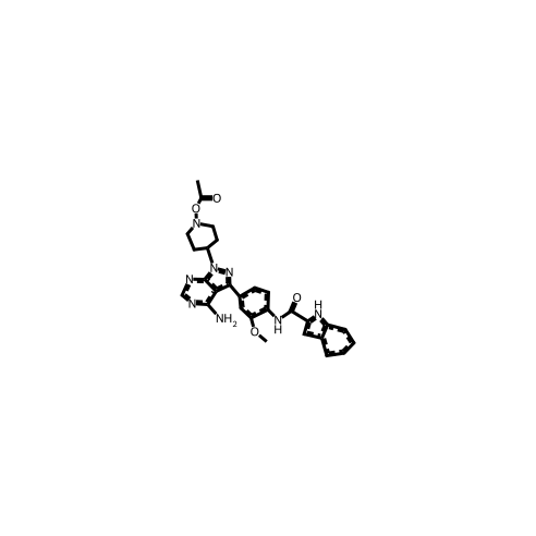 COc1cc(-c2nn(C3CCN(OC(C)=O)CC3)c3ncnc(N)c23)ccc1NC(=O)c1cc2ccccc2[nH]1